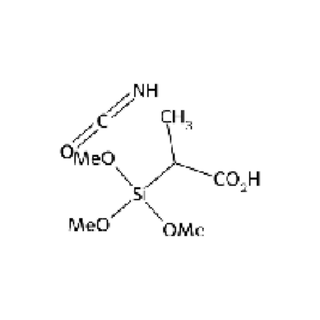 CO[Si](OC)(OC)C(C)C(=O)O.N=C=O